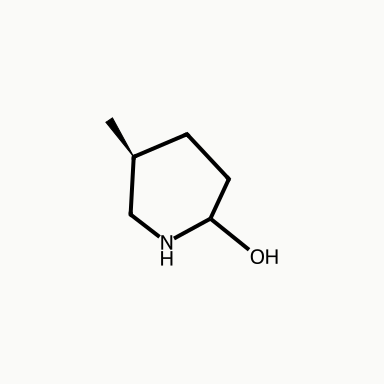 C[C@H]1CCC(O)NC1